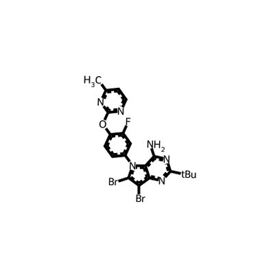 Cc1ccnc(Oc2ccc(-n3c(Br)c(Br)c4nc(C(C)(C)C)nc(N)c43)cc2F)n1